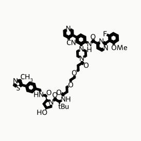 COc1cccc(F)c1-c1nccc(C(=O)Nc2ccc(-c3cnccc3C#N)cc2N2CCN(C(=O)CCOCCOCCC(=O)N[C@H](C(=O)N3C[C@H](O)C[C@H]3C(=O)NCc3ccc(-c4scnc4C)cc3)C(C)(C)C)CC2)n1